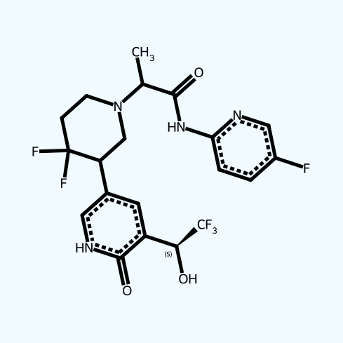 CC(C(=O)Nc1ccc(F)cn1)N1CCC(F)(F)C(c2c[nH]c(=O)c([C@H](O)C(F)(F)F)c2)C1